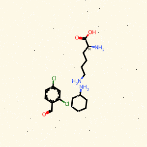 NC1CCCCC1.NCCCC[C@H](N)C(=O)O.O=Cc1ccc(Cl)cc1Cl